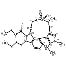 CCOC(=O)c1c(CCCO)c2ccc(Cl)c3c2n1CCCS(=O)(=O)N(C)Cc1nn(C)c(CC)c1-3